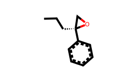 CCC[C@]1(c2ccccc2)CO1